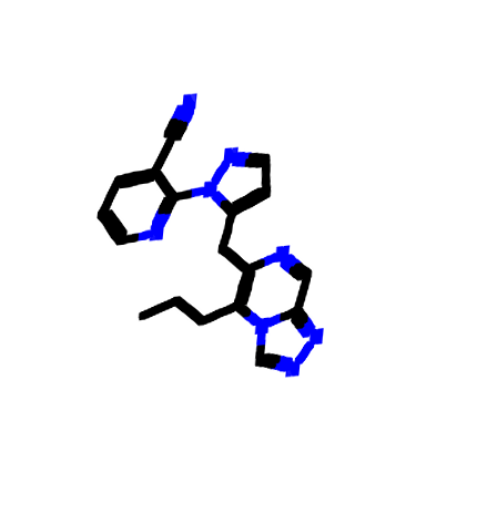 CCCc1c(Cc2ccnn2-c2ncccc2C#N)ncc2nncn12